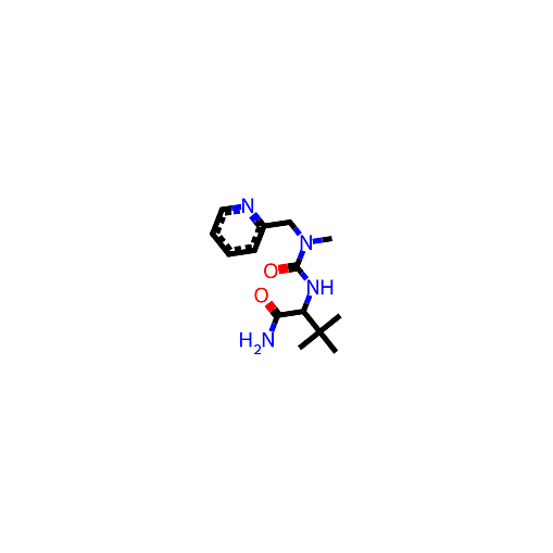 CN(Cc1ccccn1)C(=O)NC(C(N)=O)C(C)(C)C